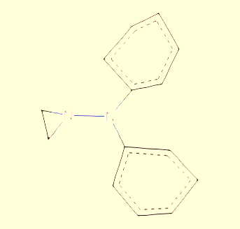 c1ccc(N(c2ccccc2)N2CC2)cc1